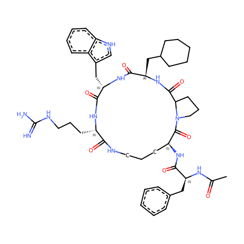 CC(=O)N[C@@H](Cc1ccccc1)C(=O)N[C@H]1CCCNC(=O)[C@H](CCCNC(=N)N)NC(=O)[C@H](Cc2c[nH]c3ccccc23)NC(=O)[C@@H](CC2CCCCC2)NC(=O)C2CCCN2C1=O